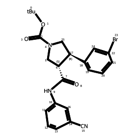 CC(C)(C)OC(=O)N1C[C@@H](C(=O)Nc2cccc(C#N)c2)[C@H](c2cccc(Br)c2)C1